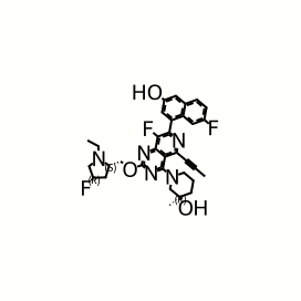 CC#Cc1nc(-c2cc(O)cc3ccc(F)cc23)c(F)c2nc(OC[C@@H]3C[C@@H](F)CN3CC)nc(N3CCC[C@@](C)(O)C3)c12